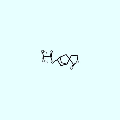 C=C(C)C(=O)OC1CC2CC1CC21CCOC1=O